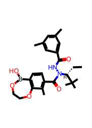 CC[C@@H](N(NC(=O)c1cc(C)cc(C)c1)C(=O)c1ccc2c(c1C)OCCOB2O)C(C)(C)C